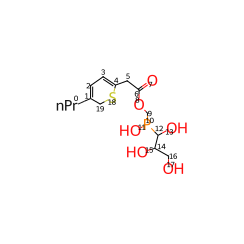 CCCC1=CC=C(CC(=O)OCP(O)C(O)C(O)CO)SC1